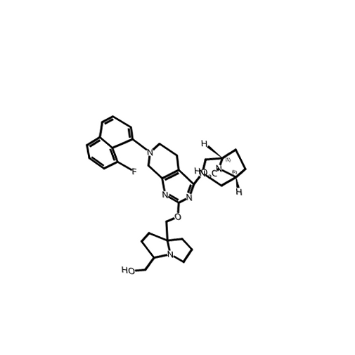 O=C(O)N1[C@@H]2CC[C@H]1CN(c1nc(OCC34CCCN3C(CO)CC4)nc3c1CCN(c1cccc4cccc(F)c14)C3)C2